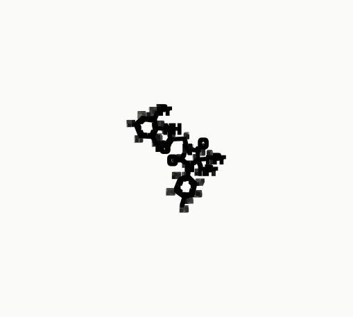 CCCC1(CCC)C(=O)N(CC(=O)Nc2c(C(C)C)cccc2C(C)C)C(=O)N1c1ccc(C)cc1